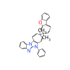 CC1(C2(C)C=CC=c3c(oc4ccccc34)=C2)C=Cc2c(n3c4ccccc4nc3n2-c2ccccc2)C=C1